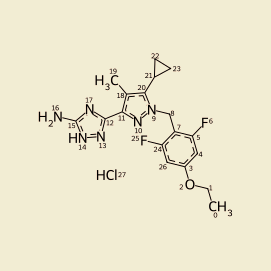 CCOc1cc(F)c(Cn2nc(-c3n[nH]c(N)n3)c(C)c2C2CC2)c(F)c1.Cl